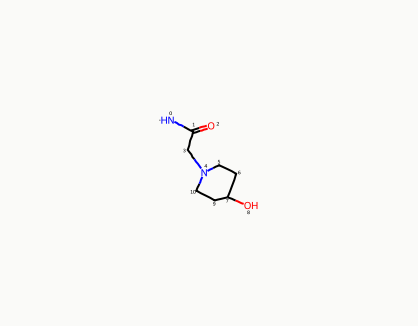 [NH]C(=O)CN1CCC(O)CC1